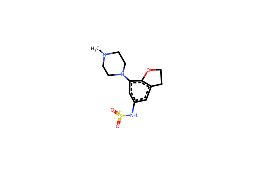 CN1CCN(c2cc(N[SH](=O)=O)cc3c2OCC3)CC1